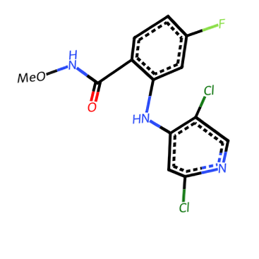 CONC(=O)c1ccc(F)cc1Nc1cc(Cl)ncc1Cl